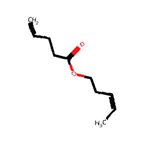 C=CCCC(=O)OCC/C=C\C